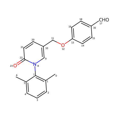 Cc1cccc(C)c1-n1cc(COc2ccc(C=O)cc2)ccc1=O